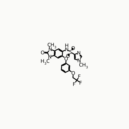 Cn1cnc(S(=O)(=O)Nc2cc3c(cc2Oc2cccc(OCC(F)(F)F)c2)n(C)c(=O)n3C)c1